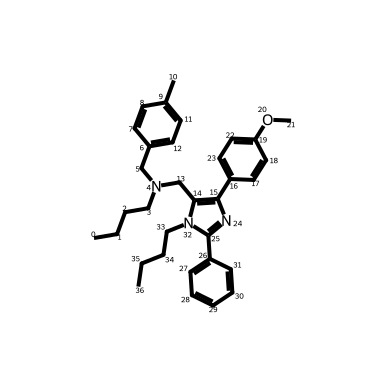 CCCCN(Cc1ccc(C)cc1)Cc1c(-c2ccc(OC)cc2)nc(-c2ccccc2)n1CCCC